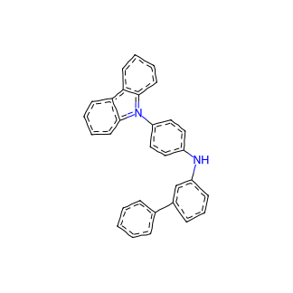 c1ccc(-c2cccc(Nc3ccc(-n4c5ccccc5c5ccccc54)cc3)c2)cc1